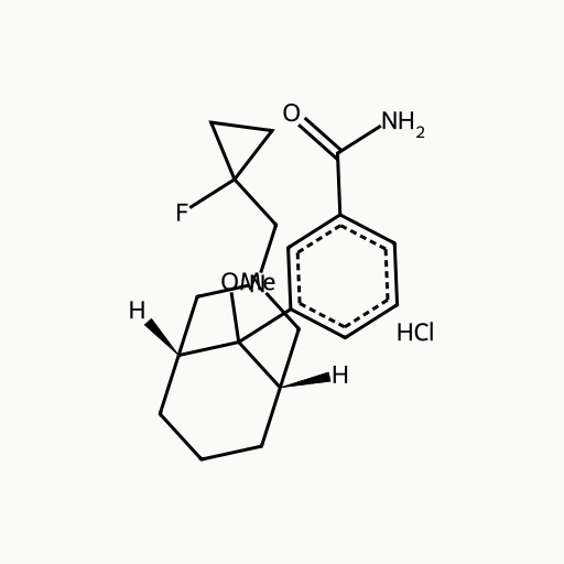 COC1(c2cccc(C(N)=O)c2)[C@@H]2CCC[C@H]1CN(CC1(F)CC1)C2.Cl